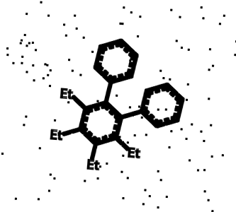 CCc1c(CC)c(CC)c(-c2ccccc2)c(-c2ccccc2)c1CC